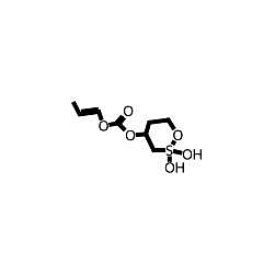 CC=COC(=O)OC1CCOS(O)(O)C1